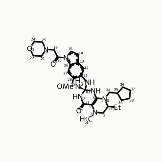 CCC1CN(C)C2=C(N[C@@](N)(Nc3cc4ccn(C(=O)CN5CCOCC5)c4cc3OC)NC2=O)N1CC1CCCC1